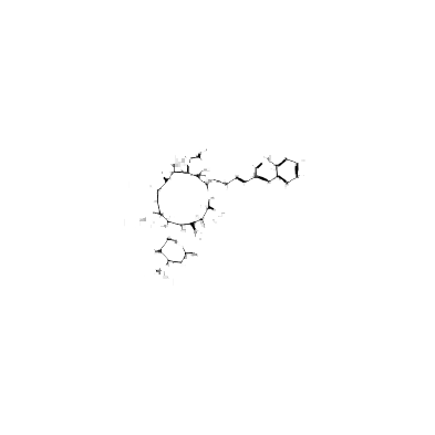 CO[C@]1(C)C[C@@H](C)C(=O)[C@H](C)[C@H]2NC(=O)O[C@]2(C)[C@@H](CC/C=C/c2cnc3ccccc3c2)OC(=O)[C@@](C)(F)C(=O)[C@H](C)[C@H]1OC1OC(C)CC(N(C)C)C1O